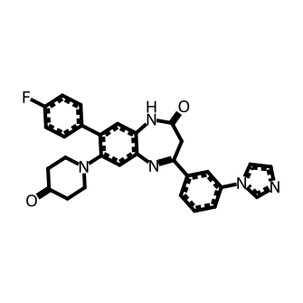 O=C1CCN(c2cc3c(cc2-c2ccc(F)cc2)NC(=O)CC(c2cccc(-n4ccnc4)c2)=N3)CC1